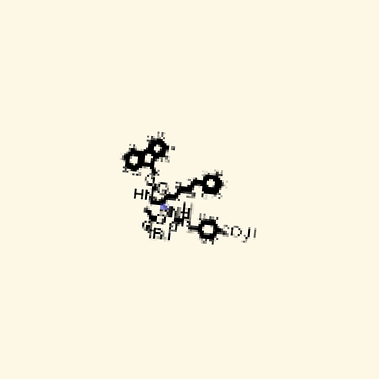 CC(C)(C)OC(=O)C[C@H](NC(=O)OCC1c2ccccc2-c2ccccc21)/C(CCCCCc1ccccc1)=N/NC(=O)NCC1CCC(C(=O)O)CC1